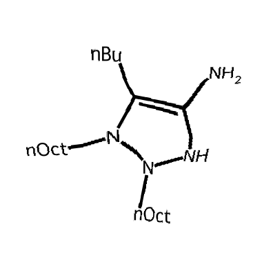 CCCCCCCCN1NC(N)=C(CCCC)N1CCCCCCCC